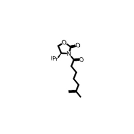 C=C(C)CCCCC(=O)N1C(=O)OC[C@@H]1C(C)C